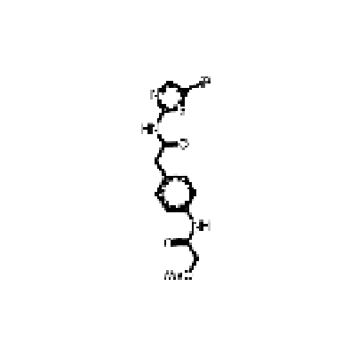 COCC(=O)Nc1ccc(CC(=O)Nc2ncc(C(C)C)s2)cc1